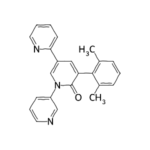 Cc1cccc(C)c1-c1cc(-c2ccccn2)cn(-c2cccnc2)c1=O